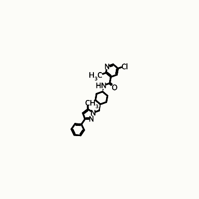 Cc1ncc(Cl)cc1C(=O)N[C@H]1CC[C@H](Cn2nc(-c3ccccc3)cc2C)CC1